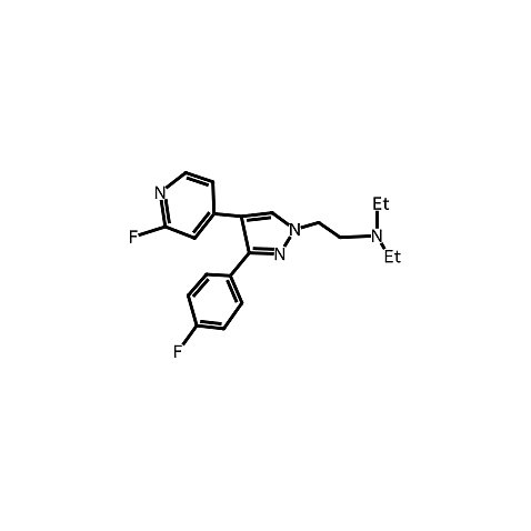 CCN(CC)CCn1cc(-c2ccnc(F)c2)c(-c2ccc(F)cc2)n1